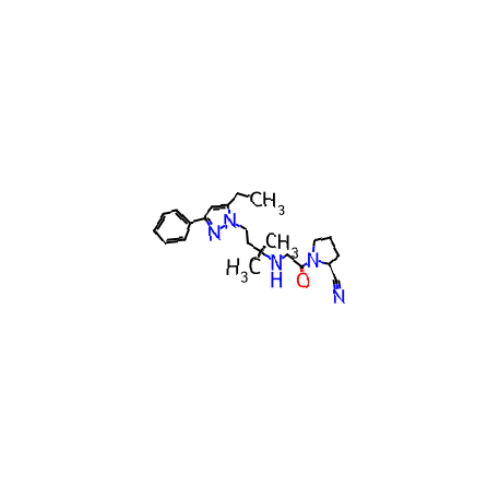 CCc1cc(-c2ccccc2)nn1CCC(C)(C)NCC(=O)N1CCCC1C#N